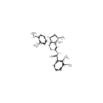 COc1ccc([C@@]23CCC(OC(=O)c4cccc(C)c4C)=C[C@@H]2N(C)CC3)cc1C